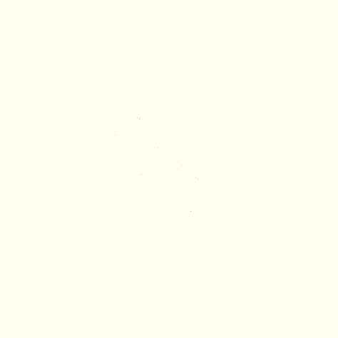 CC1(C)c2cnc(-c3nn(CC4CCCC4)c4ncc(F)cc34)nc2NC1C=O